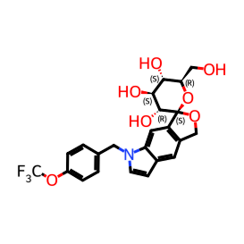 OC[C@H]1O[C@]2(OCc3cc4ccn(Cc5ccc(OC(F)(F)F)cc5)c4cc32)[C@H](O)[C@@H](O)[C@@H]1O